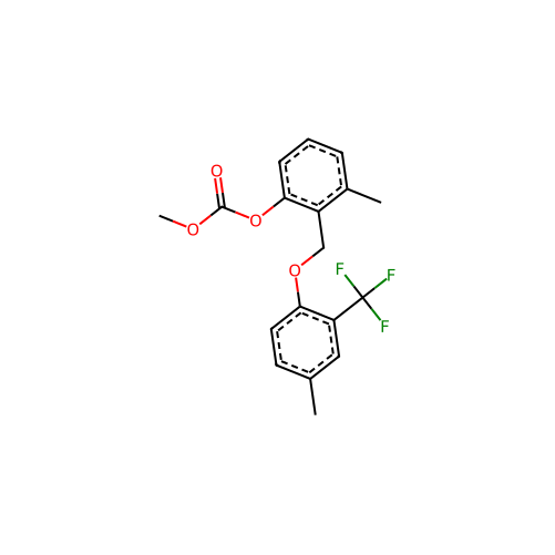 COC(=O)Oc1cccc(C)c1COc1ccc(C)cc1C(F)(F)F